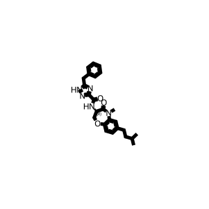 CC(C)CCc1ccc2c(c1)N(C)C(=O)[C@H](NC(=O)c1n[nH]c(Cc3ccccc3)n1)CO2